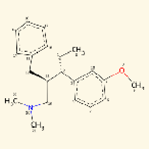 CC[C@H](c1cccc(OC)c1)[C@H](Cc1ccccc1)CN(C)C